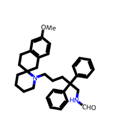 COc1ccc2c(c1)CCC1(CCCCN1CCCC(CNC=O)(c1ccccc1)c1ccccc1)C2